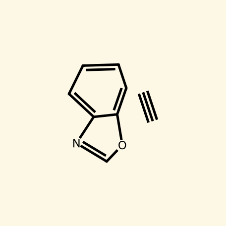 C#C.c1ccc2ocnc2c1